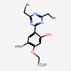 CCCCCCc1cc(-c2nc(CC(C)C)nc(CC(C)C)n2)c(O)cc1OCC(=O)OCC